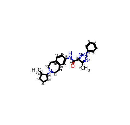 Cc1nn(-c2ccccc2)nc1C(=O)Nc1ccc2c(c1)CCN(C1CCCC1C)CC2